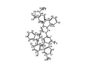 C=CC1C(CCc2cc(F)c3c(sc4cc(C(C)C)ccc43)c2-c2n(-c3c(C)cc(C)cc3C)c3ccccc3[n+]2C)c2ccccc2-c2cc(CC(C)C)c([Si](C)(C)C)c[n+]21